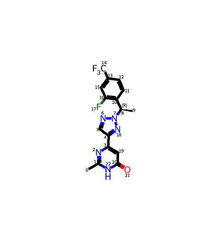 Cc1nc(-c2cnn([C@H](C)c3ccc(C(F)(F)F)cc3F)n2)cc(=O)[nH]1